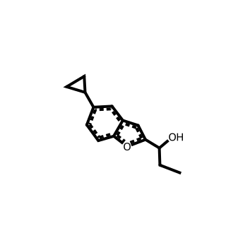 CCC(O)c1cc2cc(C3CC3)ccc2o1